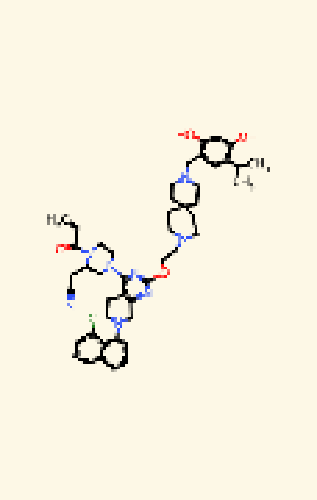 C=CC(=O)N1CCN(c2nc(OCCN3CCC4(CC3)CCN(Cc3cc(C(C)C)c(O)cc3O)CC4)nc3c2CCN(c2cccc4cccc(Cl)c24)C3)CC1CC#N